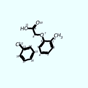 Cc1ccccc1OCC(=O)O.Clc1ccccc1